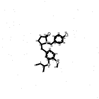 CCC(C)Oc1cc(CC2CCC(=O)N2Cc2ccc(Cl)cc2)ccc1OC